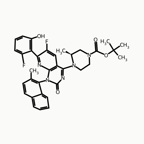 Cc1ccc2ccccc2c1-n1c(=O)nc(N2CCN(C(=O)OC(C)(C)C)C[C@@H]2C)c2cc(F)c(-c3c(O)cccc3F)nc21